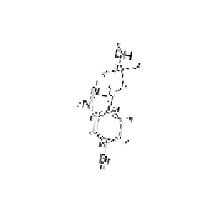 CC(C)(O)Cn1nnc2cc(Br)ccc21